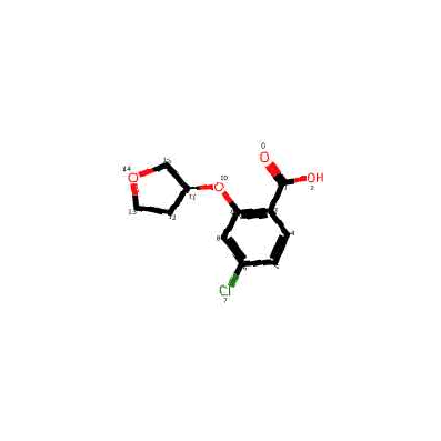 O=C(O)c1ccc(Cl)cc1O[C@H]1CCOC1